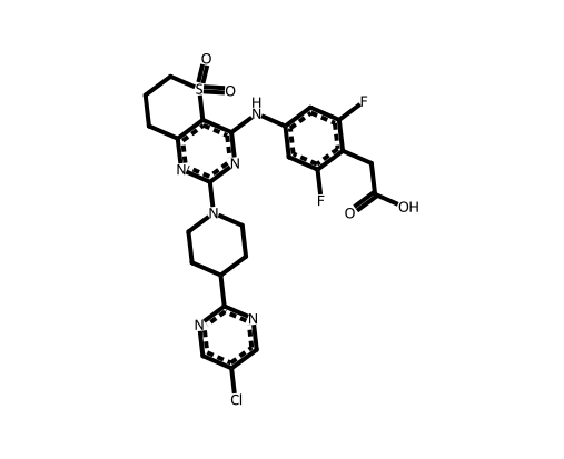 O=C(O)Cc1c(F)cc(Nc2nc(N3CCC(c4ncc(Cl)cn4)CC3)nc3c2S(=O)(=O)CCC3)cc1F